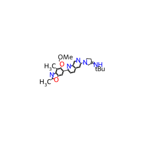 COCOc1c(-c2ccc3cc(N4CC[C@@H](NC(C)(C)C)C4)ncc3n2)cc2oc(C)nc2c1C